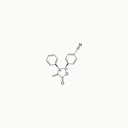 C=C1C(=O)O[C@H](c2ccc(C#N)cc2)[C@@H]1c1ccccc1